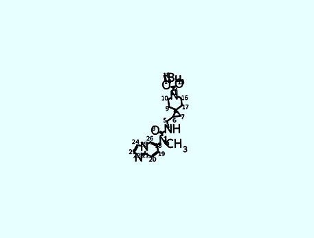 CN(C(=O)NCC1CC12CCN(C(=O)OC(C)(C)C)CC2)c1ccc2nccn2c1